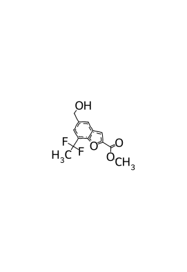 COC(=O)c1cc2cc(CO)cc(C(C)(F)F)c2o1